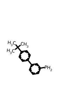 CC(C)(C)c1ccc(-c2cccc(P)c2)cc1